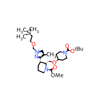 COC(=O)N1CCC[C@H](c2nn(COCC[Si](C)(C)C)cc2C)[C@@H]1COC1CCN(C(=O)OC(C)(C)C)CC1